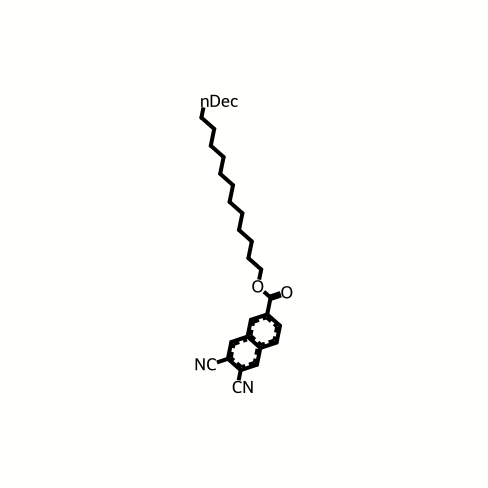 CCCCCCCCCCCCCCCCCCCCCCOC(=O)c1ccc2cc(C#N)c(C#N)cc2c1